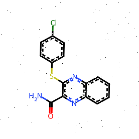 NC(=O)c1nc2ccccc2nc1Sc1ccc(Cl)cc1